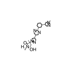 Cn1cc(-c2cccc(-c3ncc(-c4cnn(C(C)(CCO)C(N)=O)c4)cn3)c2)cn1